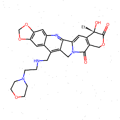 CC[C@@]1(O)C(=O)OCc2c1cc1n(c2=O)Cc2c-1nc1cc3c(cc1c2CNCCN1CCOCC1)OCO3